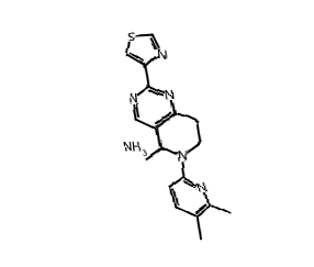 Cc1ccc(N2CCc3nc(-c4cscn4)ncc3C2C)nc1C.N